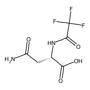 NC(=O)C[C@H](NC(=O)C(F)(F)F)C(=O)O